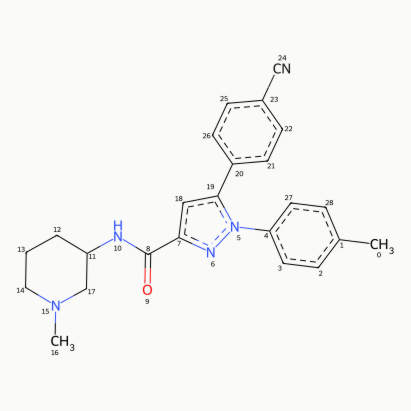 Cc1ccc(-n2nc(C(=O)NC3CCCN(C)C3)cc2-c2ccc(C#N)cc2)cc1